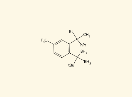 BC(B)(c1ccc(C(F)(F)F)cc1C(C)(CC)CCC)C(C)(C)C